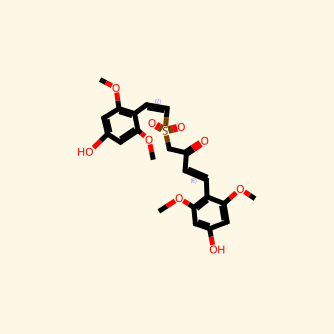 COc1cc(O)cc(OC)c1/C=C\S(=O)(=O)CC(=O)/C=C/c1c(OC)cc(O)cc1OC